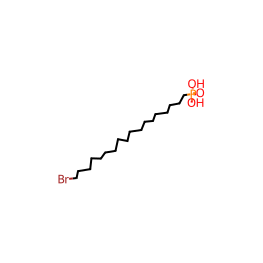 O=P(O)(O)CCCCCCCCCCCCCCCCCCBr